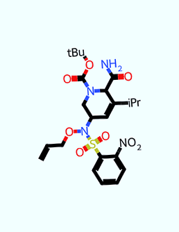 C=CCON(C1C=C(C(C)C)C(C(N)=O)N(C(=O)OC(C)(C)C)C1)S(=O)(=O)c1ccccc1[N+](=O)[O-]